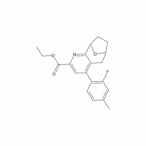 CCOC(=O)c1cc(-c2ccc(C)cc2F)c2c(n1)C1CCC(C2)O1